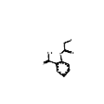 O=C(CF)Oc1ccccc1C(=O)O